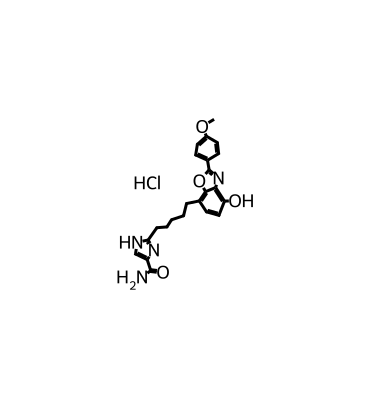 COc1ccc(-c2nc3c(O)ccc(CCCCCc4nc(C(N)=O)c[nH]4)c3o2)cc1.Cl